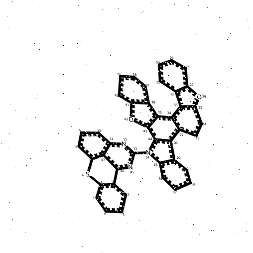 c1ccc2c(c1)Sc1cccc3nc(-n4c5ccccc5c5c6ccc7oc8ccccc8c7c6c6c7ccccc7oc6c54)nc-2c13